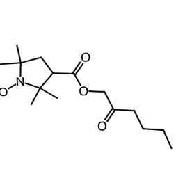 CCCCC(=O)COC(=O)C1CC(C)(C)N([O])C1(C)C